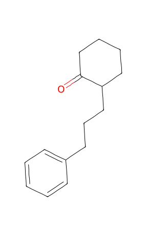 O=C1CCCCC1CCCc1ccccc1